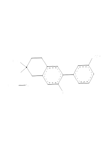 COc1cccc(-c2cc3c(cc2F)[C@H](NC(=O)O)C(C)(C)CC3)c1